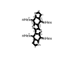 CCCCCCc1c2sccc2c(CCCCCC)c2c1sc1c2sc2c(CCCCCC)c3sccc3c(CCCCCC)c21